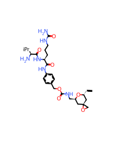 C=C[C@@H]1C[C@]2(CO2)C[C@@H](CNC(=O)OCc2ccc(NC(=O)[C@H](CCCNC(N)=O)NC(=O)[C@@H](N)C(C)C)cc2)O1